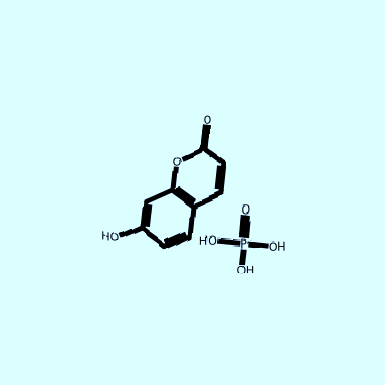 O=P(O)(O)O.O=c1ccc2ccc(O)cc2o1